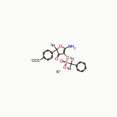 [2H]C1(c2ccc(C(=O)[O-])cc2)OC(N)=C(OS(=O)(=O)C([2H])([2H])c2ccccc2)C1=O.[K+]